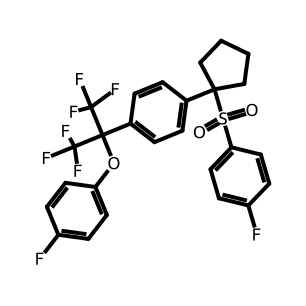 O=S(=O)(c1ccc(F)cc1)C1(c2ccc(C(Oc3ccc(F)cc3)(C(F)(F)F)C(F)(F)F)cc2)CCCC1